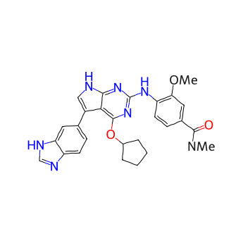 CNC(=O)c1ccc(Nc2nc(OC3CCCC3)c3c(-c4ccc5nc[nH]c5c4)c[nH]c3n2)c(OC)c1